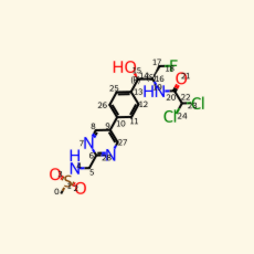 CS(=O)(=O)NCc1ncc(-c2ccc([C@@H](O)[C@@H](CF)NC(=O)C(Cl)Cl)cc2)cn1